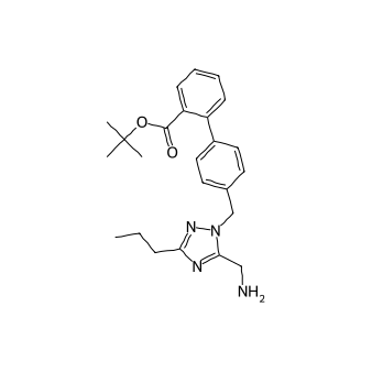 CCCc1nc(CN)n(Cc2ccc(-c3ccccc3C(=O)OC(C)(C)C)cc2)n1